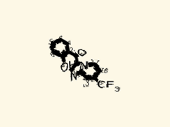 O=C(c1ccccc1O)c1cnc2cc(C(F)(F)F)ccn12